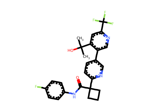 CC(C)(O)c1cc(C(F)(F)F)ncc1-c1ccc(C2(C(=O)Nc3ccc(F)cc3)CCC2)nc1